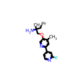 Cc1cc(-c2ccnc(F)c2)ncc1OCC(C)(N)CC(C)C